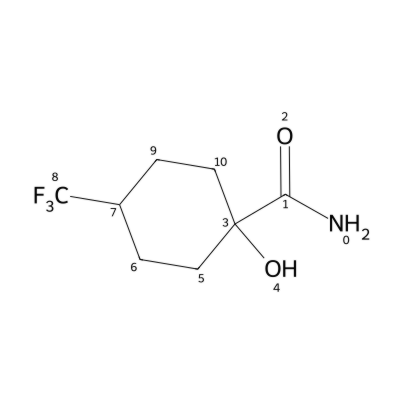 NC(=O)C1(O)CCC(C(F)(F)F)CC1